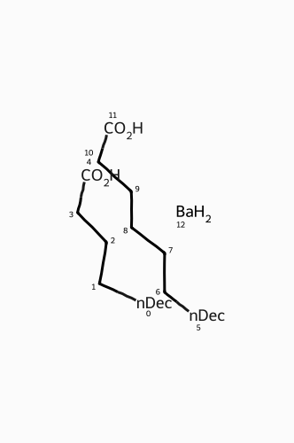 CCCCCCCCCCCCCC(=O)O.CCCCCCCCCCCCCCCC(=O)O.[BaH2]